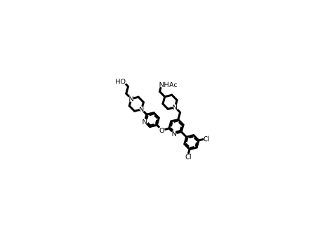 CC(=O)NCC1CCN(Cc2cc(Oc3ccc(N4CCN(CCO)CC4)nc3)nc(-c3cc(Cl)cc(Cl)c3)c2)CC1